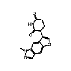 Cn1ncc2cc3occ(C4CCC(=O)NC4=O)c3cc21